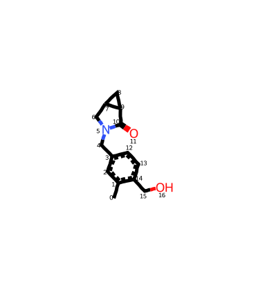 Cc1cc(CN2CC3CC3C2=O)ccc1CO